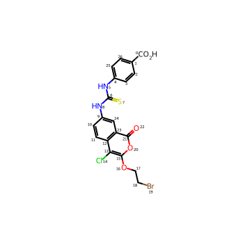 O=C(O)c1ccc(NC(=S)Nc2ccc3c(Cl)c(OCCBr)oc(=O)c3c2)cc1